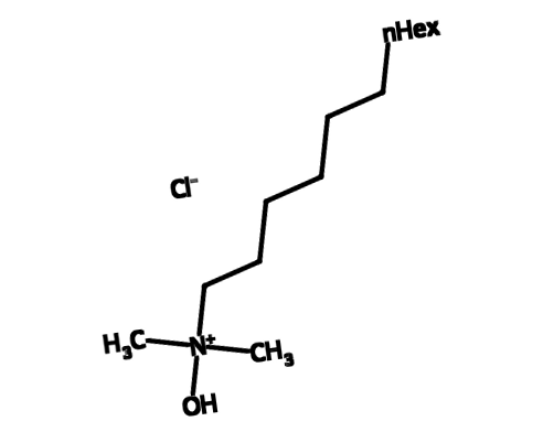 CCCCCCCCCCCC[N+](C)(C)O.[Cl-]